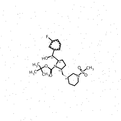 CC(C)(C)OC(=O)N1[C@H](C[C@H]2CCCN(S(C)(=O)=O)C2)CC[C@@H]1[C@@H](O)c1cccc(F)c1